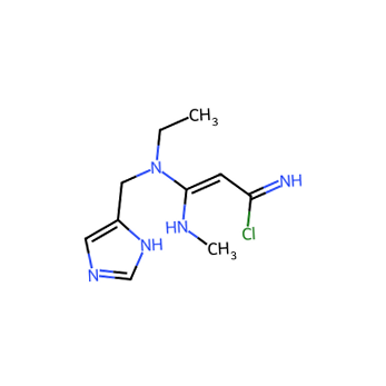 CCN(Cc1cnc[nH]1)/C(=C/C(=N)Cl)NC